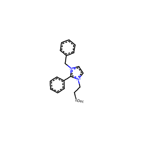 CCCCCCCCCCCC[n+]1ccn(Cc2ccccc2)c1-c1ccccc1